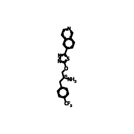 N[C@H](COc1nnc(-c2ccc3cnccc3c2)s1)Cc1ccc(C(F)(F)F)cc1